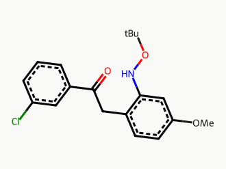 COc1ccc(CC(=O)c2cccc(Cl)c2)c(NOC(C)(C)C)c1